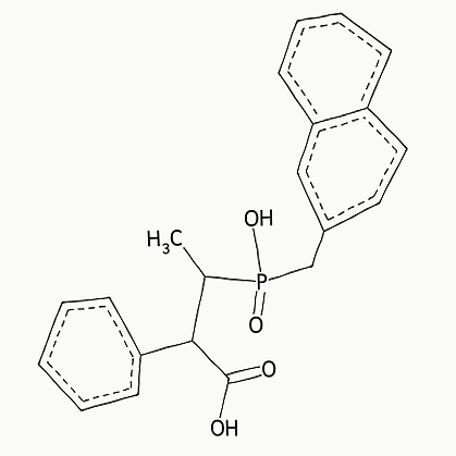 CC(C(C(=O)O)c1ccccc1)P(=O)(O)Cc1ccc2ccccc2c1